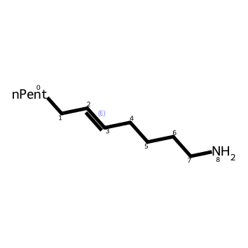 CCCCCC/C=C/CCCCN